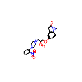 CN1C(=O)Cc2cc(OCC(O)CN3CCN(c4ccccc4[N+](=O)[O-])CC3)ccc21